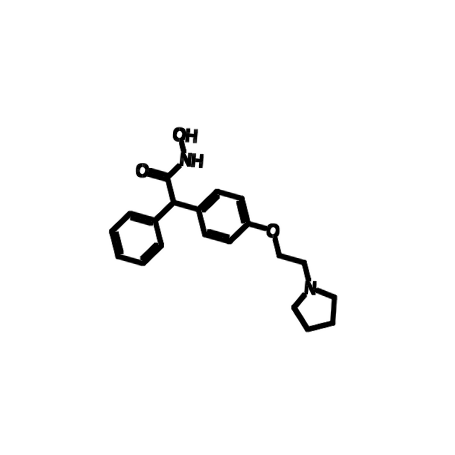 O=C(NO)C(c1ccccc1)c1ccc(OCCN2CCCC2)cc1